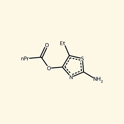 CCCC(=O)Oc1nc(N)sc1CC